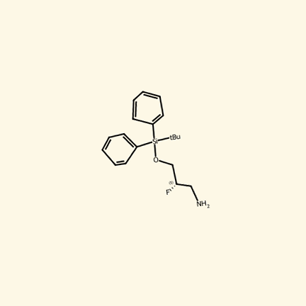 CC(C)(C)[Si](OC[C@@H](F)CN)(c1ccccc1)c1ccccc1